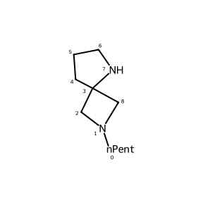 CCCCCN1CC2(CCCN2)C1